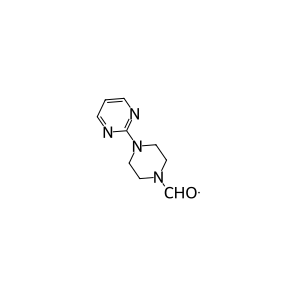 O=[C]N1CCN(c2ncccn2)CC1